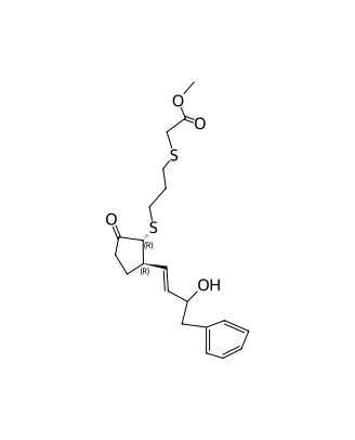 COC(=O)CSCCCS[C@H]1C(=O)CC[C@@H]1C=CC(O)Cc1ccccc1